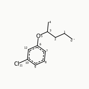 [CH2]CCC(C)Oc1cccc(Cl)c1